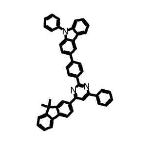 CC1(C)c2ccccc2-c2ccc(-c3cc(-c4ccccc4)nc(-c4ccc(-c5ccc6c(c5)c5ccccc5n6-c5ccccc5)cc4)n3)cc21